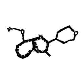 Cc1c(C2CCOCC2)nc2c(OC(C)C)cccn12